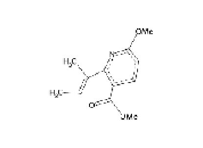 CC=C(C)c1nc(OC)ccc1C(=O)OC